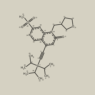 CC(C)[Si](C#Cc1cc(=O)n(CC2CCOC2)c2nc(S(C)(=O)=O)ncc12)(C(C)C)C(C)C